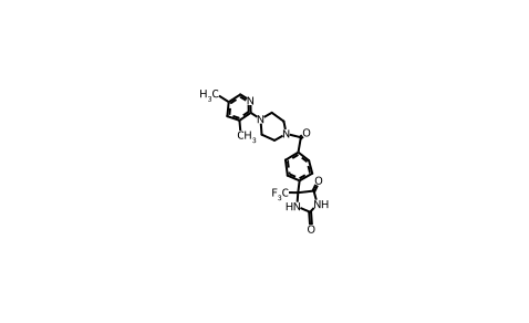 Cc1cnc(N2CCN(C(=O)c3ccc(C4(C(F)(F)F)NC(=O)NC4=O)cc3)CC2)c(C)c1